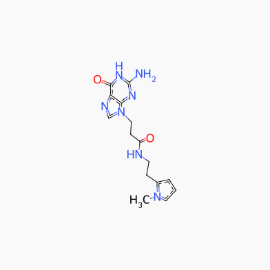 Cn1cccc1CCNC(=O)CCn1cnc2c(=O)[nH]c(N)nc21